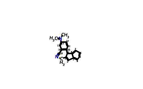 CC1=Cc2ccccc2C1c1ccc(N(C)C)cc1C#N